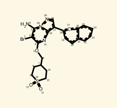 Nc1c(Br)c(OCC2CCS(=O)(=O)CC2)nc2c(-c3ccc4ccccc4c3)cnn12